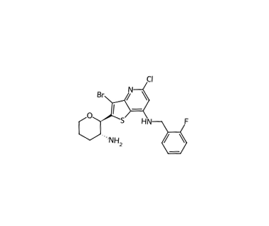 N[C@@H]1CCCO[C@H]1c1sc2c(NCc3ccccc3F)cc(Cl)nc2c1Br